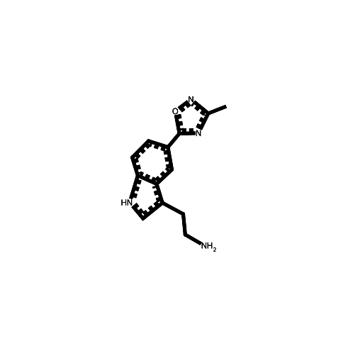 Cc1noc(-c2ccc3[nH]cc(CCN)c3c2)n1